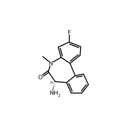 CN1C(=O)[C@@H](N)c2ccccc2-c2ccc(F)cc21